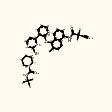 Cc1ccc2c(NC(=O)C(C)(C)C#N)cccc2c1Oc1ncccc1-c1ccnc(N[C@H]2CCCN(C(=O)OC(C)(C)C)C2)n1